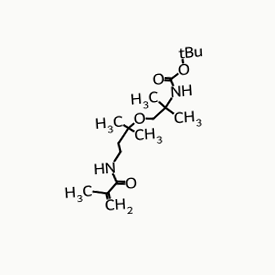 C=C(C)C(=O)NCCC(C)(C)OCC(C)(C)NC(=O)OC(C)(C)C